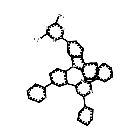 Cc1nc(C)nc(-c2ccc3c4ccccc4n(-c4ccc(-c5ccccn5)cc4-c4nc(-c5ccccc5)nc(-c5ccccc5)n4)c3c2)n1